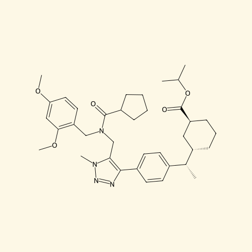 COc1ccc(CN(Cc2c(-c3ccc([C@@H](C)[C@H]4CCC[C@H](C(=O)OC(C)C)C4)cc3)nnn2C)C(=O)C2CCCC2)c(OC)c1